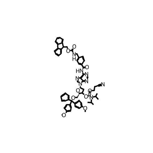 COc1ccc(C(OC[C@H]2O[C@@H](n3cnc4c(NC(=O)c5ccc(CNC(=O)OCC6c7ccccc7-c7ccccc76)cc5)ncnc43)CC2OP(OCCC#N)N(C(C)C)C(C)C)(c2ccccc2)c2ccc(OC)cc2)cc1